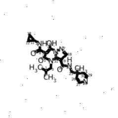 CC(C)Cn1c(=O)c(C(=O)NC2CC2)c(O)n2ncc(C(=O)NCC3(C)C=CN=CC3)c12